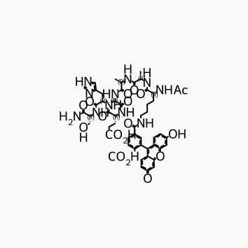 CC(=O)N[C@H](CCCCNC(=O)c1ccc(C(=O)O)c(-c2c3ccc(=O)cc-3oc3cc(O)ccc23)c1)C(=O)N[C@H](C)C(=O)N[C@H](C)C(=O)N[C@H](C)C(=O)N[C@H](CCC(=O)O)C(=O)N[C@H](Cc1c[nH]cn1)C(=O)N[C@H](CO)C(N)=O